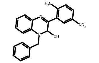 Nc1ccc([N+](=O)[O-])cc1C1=Nc2ccccc2N(Cc2ccccc2)C1O